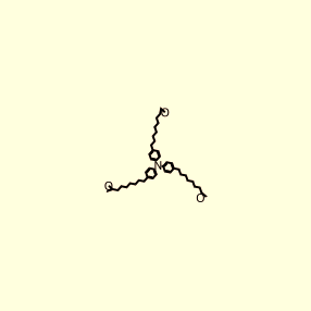 c1cc(N(c2ccc(CCCCCCCC3CO3)cc2)c2ccc(CCCCCCCC3CO3)cc2)ccc1CCCCCCCC1CO1